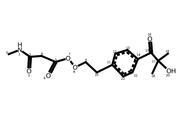 CNC(=O)CC(=O)OOCCc1ccc(C(=O)C(C)(C)O)cc1